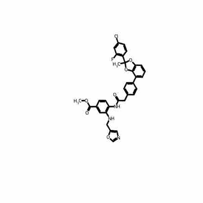 COC(=O)c1ccc(NC(=O)Cc2ccc(-c3cccc4c3OC(C)(c3ccc(Cl)cc3F)O4)cc2)c(NCc2cnco2)c1